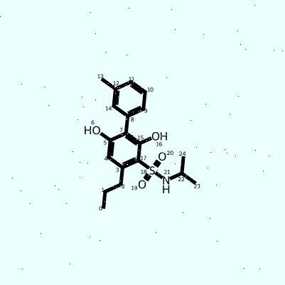 CCCc1cc(O)c(-c2cccc(C)c2)c(O)c1S(=O)(=O)NC(C)C